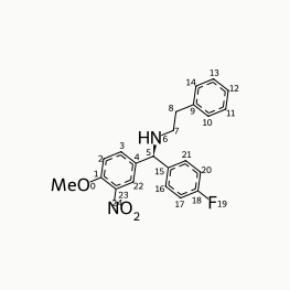 COc1ccc([C@@H](NCCc2ccccc2)c2ccc(F)cc2)cc1[N+](=O)[O-]